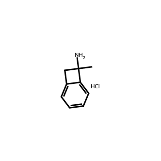 CC1(N)Cc2ccccc21.Cl